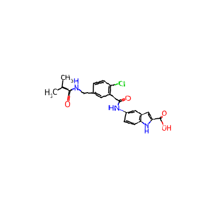 CC(C)C(=O)NCc1ccc(Cl)c(C(=O)Nc2ccc3[nH]c(C(=O)O)cc3c2)c1